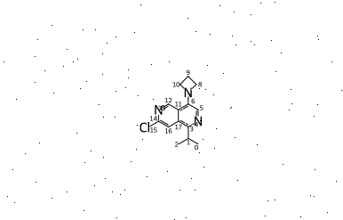 CC(C)c1ncc(N2CCC2)c2cnc(Cl)cc12